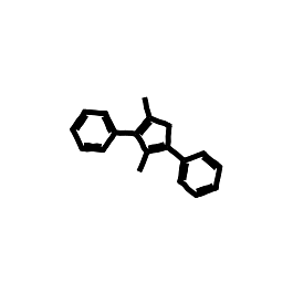 CC1=C(c2ccccc2)C(C)=C(c2ccccc2)C1